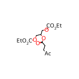 CCOC(=O)OCC(COC(=O)OCC)OC(=O)CCC(C)=O